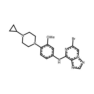 COc1cc(Nc2nc(Br)cn3ncnc23)ccc1N1CCN(C2CC2)CC1